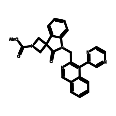 COC(=O)N1CC2(C1)C(=O)N(Cc1ncc3ccccc3c1-c1cnccn1)c1ccccc12